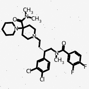 CN(C)C(=O)C1(N2CCCCC2)CCN(CC[C@H](CN(C)C(=O)c2ccc(F)c(F)c2)c2ccc(Cl)c(Cl)c2)CC1